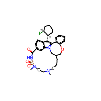 CN1CCCC2COc3ccccc3-c3c([C@H]4CCCC[C@@H]4F)c4ccc(cc4n3C2)C(=O)NS(=O)(=O)N(C)CC1